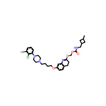 CC1CC(CNC(=O)OCOC2=Nc3cc(OCCCCN4CCN(c5cccc(Cl)c5Cl)CC4)ccc3CC2)C1